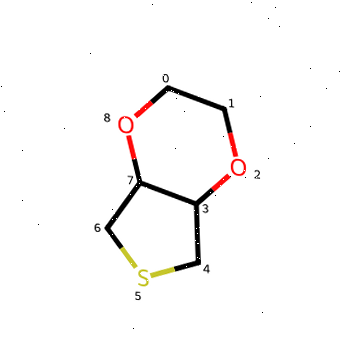 C1COC2CSCC2O1